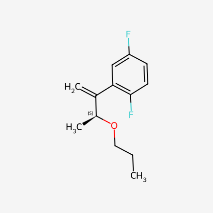 C=C(c1cc(F)ccc1F)[C@H](C)OCCC